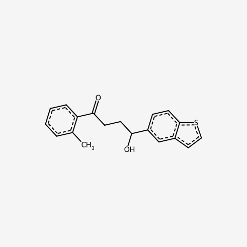 Cc1ccccc1C(=O)CCC(O)c1ccc2sccc2c1